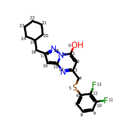 Oc1cc(CSc2cccc(F)c2F)nc2cc(CC3CCCCC3)nn12